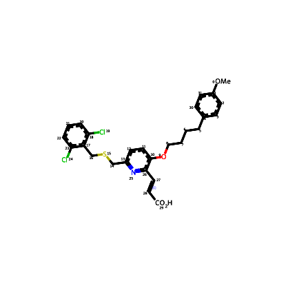 COc1ccc(CCCCOc2ccc(CSCc3c(Cl)cccc3Cl)nc2/C=C/C(=O)O)cc1